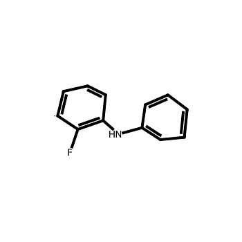 Fc1[c]cccc1Nc1ccccc1